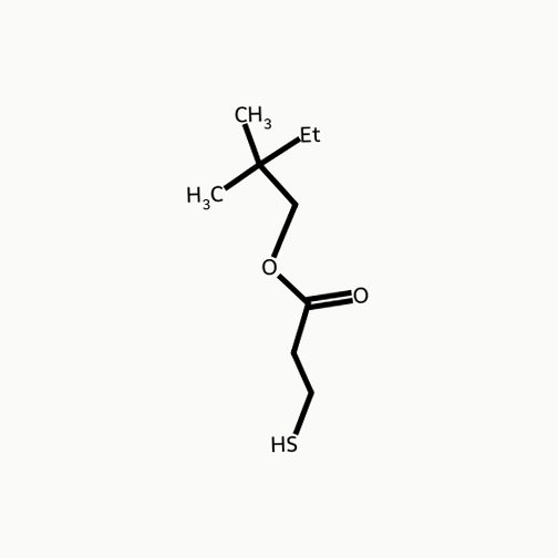 CCC(C)(C)COC(=O)CCS